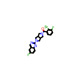 O=C(c1cccc(F)c1Br)N1CC2CN(c3ncc4cc(F)ccc4n3)CC2C1